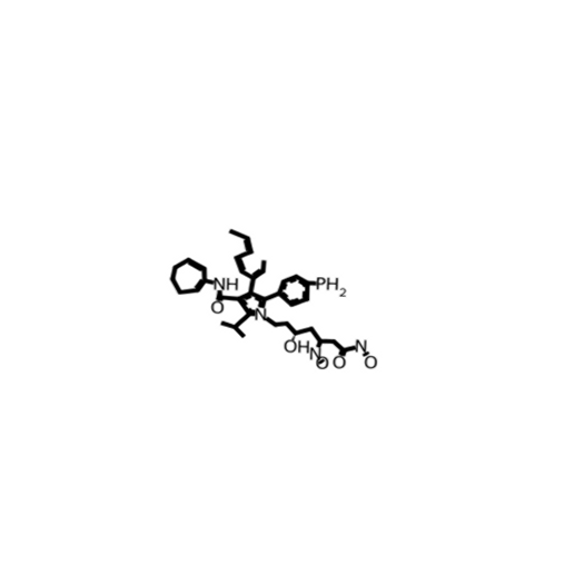 C\C=C/C=C\C(=C/C)c1c(C(=O)NC2=CCCCC=C2)c(C(C)C)n(CC[C@@H](O)CC(CC(=O)N=O)N=O)c1-c1ccc(P)cc1